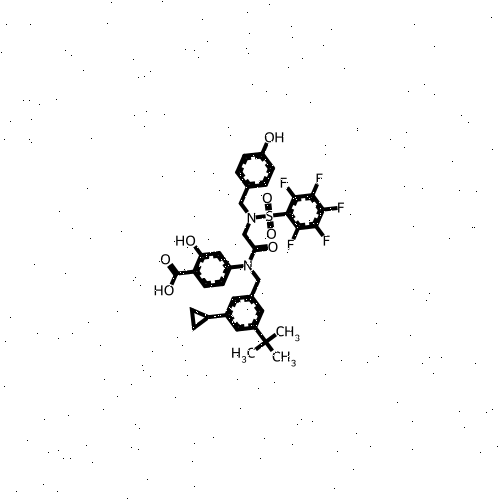 CC(C)(C)c1cc(CN(C(=O)CN(Cc2ccc(O)cc2)S(=O)(=O)c2c(F)c(F)c(F)c(F)c2F)c2ccc(C(=O)O)c(O)c2)cc(C2CC2)c1